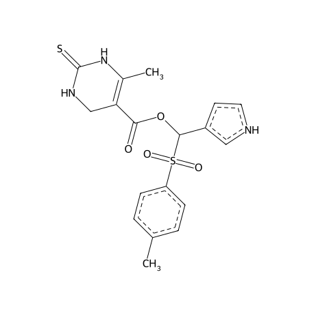 CC1=C(C(=O)OC(c2cc[nH]c2)S(=O)(=O)c2ccc(C)cc2)CNC(=S)N1